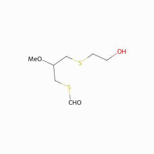 COC(CSC=O)CSCCO